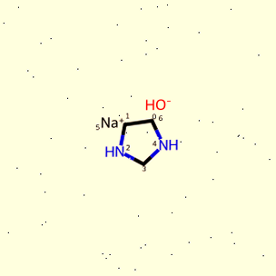 C1CNCN1.[Na+].[OH-]